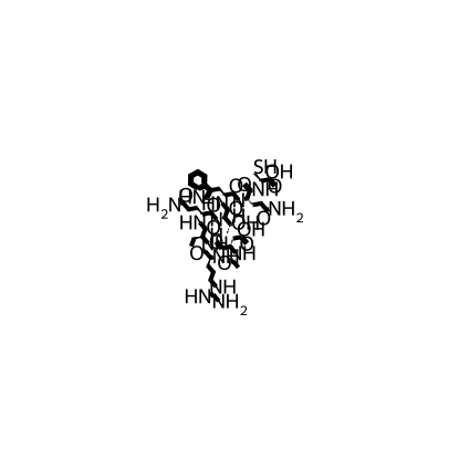 CC[C@H](NC(=O)[C@H](CCCNC(=N)N)NC(=O)[C@H](CC(=O)O)NC(C)=O)C(=O)N[C@@H](CCC(N)=O)C(=O)N[C@H](C(=O)N[C@@H](Cc1c[nH]c2ccccc12)C(=O)N[C@@H](CCC(N)=O)C(=O)N[C@@H](CS)C(=O)O)[C@@H](C)O